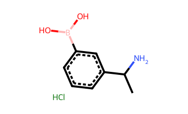 CC(N)c1cccc(B(O)O)c1.Cl